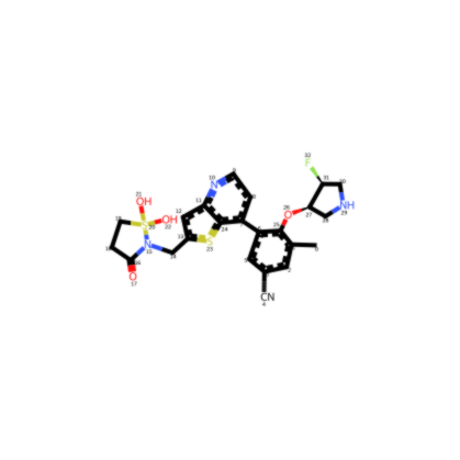 Cc1cc(C#N)cc(-c2ccnc3cc(CN4C(=O)CCS4(O)O)sc23)c1O[C@@H]1CNC[C@@H]1F